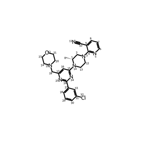 C[C@@H]1CN(c2ncccc2C#N)CCN1c1cc(CN2CCOCC2)nc(-c2cccc(Cl)c2)n1